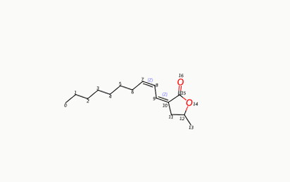 CCCCCCC/C=C\C=C1\CC(C)OC1=O